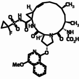 COc1cnc(O[C@@H]2C[C@H]3C(=O)N[C@]4(C(=O)NS(=O)(=O)C5(F)CC5)C[C@H]4/C=C\CC[C@@H](C)C[C@@H](C)[C@H](NC(=O)O)C(=O)N3C2)c2ccccc12